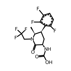 C[C@H]1[C@@H](c2c(F)ccc(F)c2F)C[C@@H](NC(=O)O)C(=O)N1CC(F)(F)F